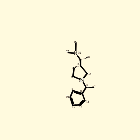 C[C@H]([C@H]1CCN([C@@H](C)c2ccccc2)C1)N(C)C